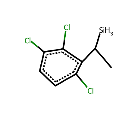 CC([SiH3])c1c(Cl)ccc(Cl)c1Cl